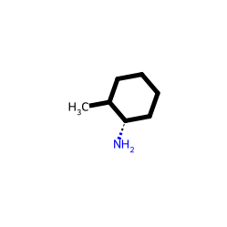 CC1CCCC[C@@H]1N